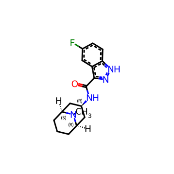 CN1[C@@H]2CCC[C@H]1C[C@@H](NC(=O)c1n[nH]c3ccc(F)cc13)C2